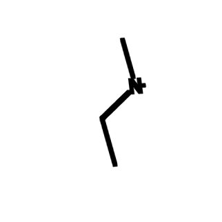 CC[N]C